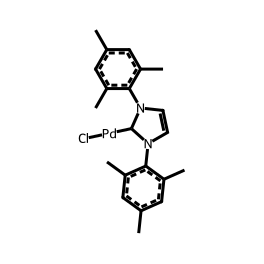 Cc1cc(C)c(N2C=CN(c3c(C)cc(C)cc3C)[CH]2[Pd][Cl])c(C)c1